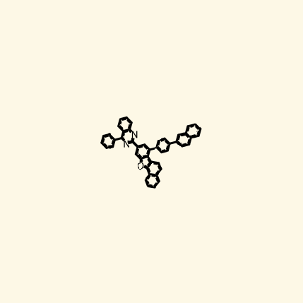 c1ccc(-c2nc(-c3cc(-c4ccc(-c5ccc6ccccc6c5)cc4)c4c(c3)oc3c5ccccc5ccc34)nc3ccccc23)cc1